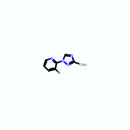 O=Cc1ncn(-c2ncccc2F)n1